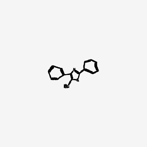 CCC(C)c1sc(-c2ccccc2)nc1-c1ccccc1